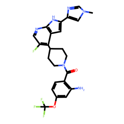 Cn1cnc(-c2cc3c(C4CCN(C(=O)c5ccc(OC(F)(F)F)cc5N)CC4)c(F)cnc3[nH]2)c1